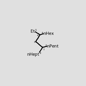 CCCCCCCC(CCCCC)CC(CC)CCCCCC